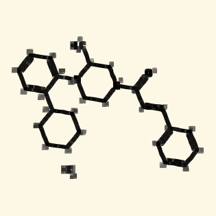 CC1CN(C(=O)C=Cc2ccccc2)CCN1c1ccccc1C1CCCCC1.Cl